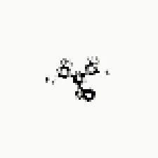 C[C@@H]1CN(c2cc(-n3cnc4ccccc43)nc(N3C[C@@H](C)O[C@@H](C)C3)n2)C[C@H](C)O1